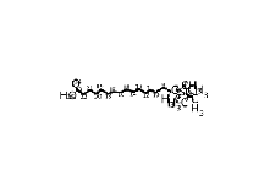 CC(C)(C)[Si](C)(C)OCCCCCCCCCCCCCCCC(=O)O